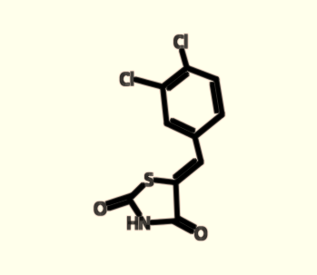 O=C1NC(=O)C(=Cc2ccc(Cl)c(Cl)c2)S1